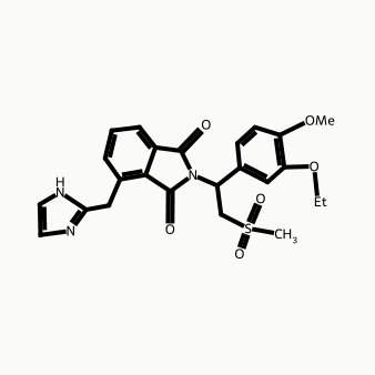 CCOc1cc(C(CS(C)(=O)=O)N2C(=O)c3cccc(Cc4ncc[nH]4)c3C2=O)ccc1OC